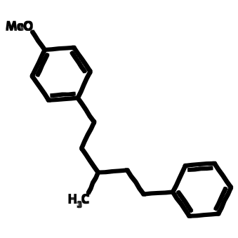 COc1ccc(CCC(C)CCc2ccccc2)cc1